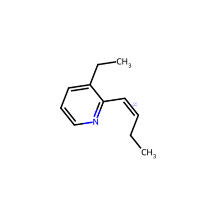 CC/C=C\c1ncccc1CC